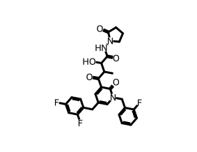 CC(C(=O)c1cc(Cc2ccc(F)cc2F)cn(Cc2ccccc2F)c1=O)C(O)C(=O)NN1CCCC1=O